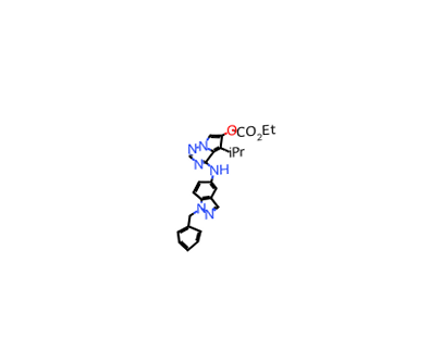 CCOC(=O)Oc1cn2ncnc(Nc3ccc4c(cnn4Cc4ccccc4)c3)c2c1C(C)C